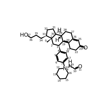 C[C@]12C[C@H](c3ccc([N+]4(NC=O)CCCCC4)cc3)C3=C4CCC(=O)C=C4CC[C@H]3[C@@H]1CC[C@@H]2CCCO